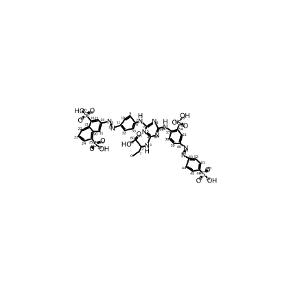 CCC(Nc1nc(Nc2ccc(N=Nc3cc(S(=O)(=O)O)c4cccc(S(=O)(=O)O)c4c3)cc2)nc(Nc2ccc(N=Nc3ccc(S(=O)(=O)O)cc3)cc2S(=O)(=O)O)n1)C(=O)O